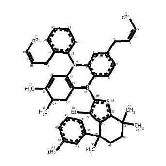 CCC/C=C\Cc1ccc2c(c1)N(c1ccccc1C/C=C\CCC)C1=C(CC(C)C(C)=C1)B2c1sc2c(c1CC)C(C)(c1cccc(C(C)(C)C)c1)CCC2(C)C